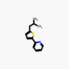 CC(C)Cc1ccc(-c2ccccn2)s1